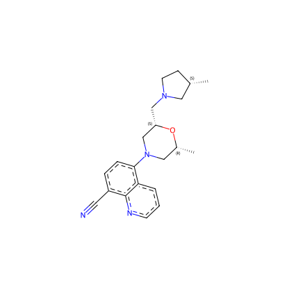 C[C@H]1CCN(C[C@H]2CN(c3ccc(C#N)c4ncccc34)C[C@@H](C)O2)C1